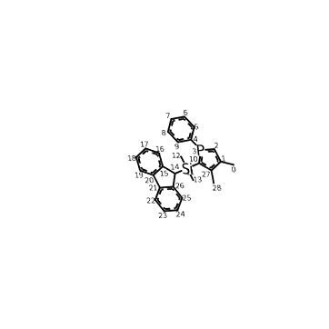 Cc1cp(-c2ccccc2)c([Si](C)(C)C2c3ccccc3-c3ccccc32)c1C